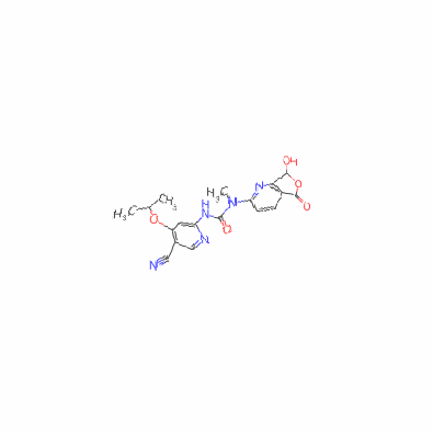 CC(C)Oc1cc(NC(=O)N(C)c2ccc3c(n2)C(O)OC3=O)ncc1C#N